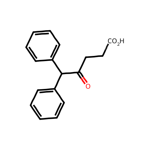 O=C(O)CCC(=O)C(c1ccccc1)c1ccccc1